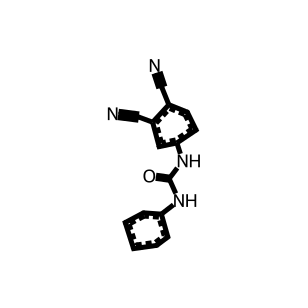 N#Cc1ccc(NC(=O)Nc2ccccc2)cc1C#N